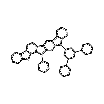 c1ccc(-c2cc(-c3ccccc3)cc(-n3c4ccccc4c4cc5c6ccc7c8ccccc8sc7c6n(-c6ccccc6)c5cc43)c2)cc1